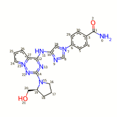 NC(=O)c1ccc(-n2cnc(Nc3nc(N4CCC[C@H]4CO)nn4cccc34)c2)cc1